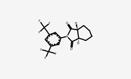 O=C1[C@@H]2CCCC[C@H]2C(=O)N1c1cc(C(F)(F)F)cc(C(F)(F)F)c1